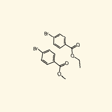 CCOC(=O)c1ccc(Br)cc1.COC(=O)c1ccc(Br)cc1